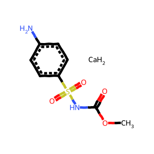 COC(=O)NS(=O)(=O)c1ccc(N)cc1.[CaH2]